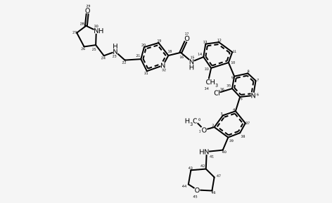 COc1cc(-c2nccc(-c3cccc(NC(=O)c4ccc(CNCC5CCC(=O)N5)cn4)c3C)c2Cl)ccc1CNC1CCOCC1